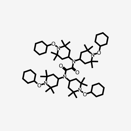 CC1(C)CC(N(C(=O)C(=O)N(C2CC(C)(C)N(OC3CCCCC3)C(C)(C)C2)C2CC(C)(C)N(OC3CCCCC3)C(C)(C)C2)C2CC(C)(C)N(OC3CCCCC3)C(C)(C)C2)CC(C)(C)N1OC1CCCCC1